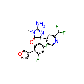 CN1C(=O)C(c2ccnc(C(F)F)c2)(c2cc(-c3ccoc3)c(F)cc2F)N=C1N